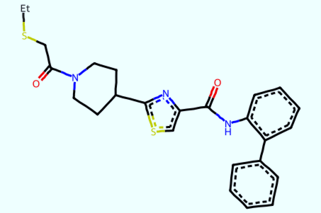 CCSCC(=O)N1CCC(c2nc(C(=O)Nc3ccccc3-c3ccccc3)cs2)CC1